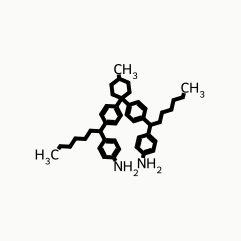 CCCCCCC(c1ccc(N)cc1)c1ccc(C2(c3ccc(C(CCCCCC)c4ccc(N)cc4)cc3)CCC(C)CC2)cc1